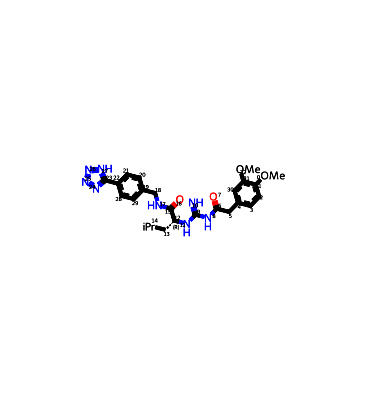 COc1ccc(CC(=O)NC(=N)N[C@H](CC(C)C)C(=O)NCc2ccc(-c3nnn[nH]3)cc2)cc1OC